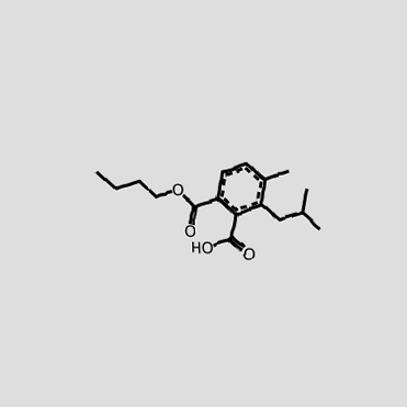 CCCCOC(=O)c1ccc(C)c(CC(C)C)c1C(=O)O